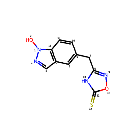 On1ncc2cc(Cc3noc(=S)[nH]3)ccc21